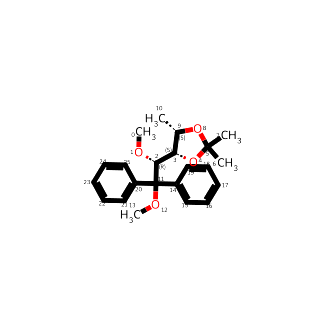 CO[C@H]([C@H]1OC(C)(C)O[C@H]1C)C(OC)(c1ccccc1)c1ccccc1